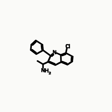 CC(N)c1cc2cccc(Cl)c2nc1-c1ccccc1